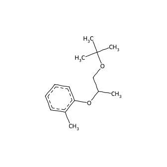 Cc1ccccc1OC(C)COC(C)(C)C